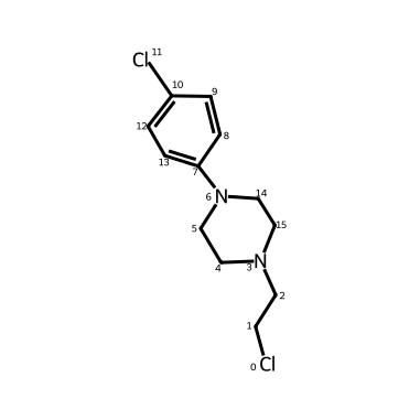 ClCCN1CCN(c2ccc(Cl)cc2)CC1